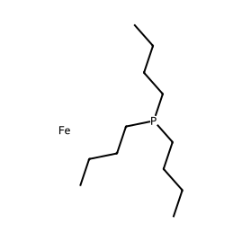 CCCCP(CCCC)CCCC.[Fe]